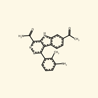 CC(=O)c1ccc2c(c1)[nH]c1c(C(N)=O)nnc(-c3cccc(N)c3C)c12